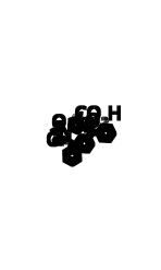 O=C(O)[C@@H]1C[C@H](N2C(=O)COC[C@@H]2Cc2ccccc2)CN1C(=O)C(c1ccccc1)c1ccccc1